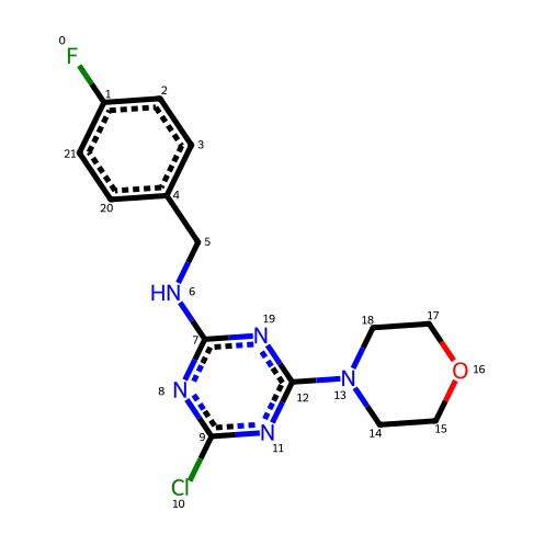 Fc1ccc(CNc2nc(Cl)nc(N3CCOCC3)n2)cc1